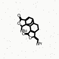 CCC/C=C1\OC(=O)C2=C1CCC1C3C=C4C(=O)OC(CCCC)C4(CC3)C21